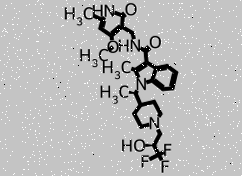 COc1cc(C)[nH]c(=O)c1CNC(=O)c1c(C)n([C@H](C)C2CCN(C[C@H](O)C(F)(F)F)CC2)c2ccccc12